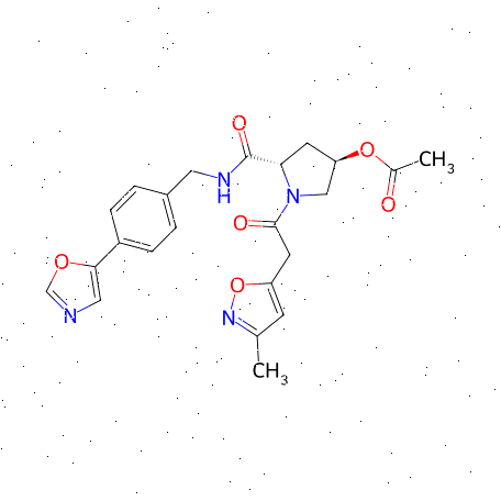 CC(=O)O[C@@H]1C[C@@H](C(=O)NCc2ccc(-c3cnco3)cc2)N(C(=O)Cc2cc(C)no2)C1